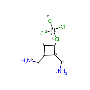 NCC1CCC1CN.[Cl][Pt]([Cl])([Cl])[Cl]